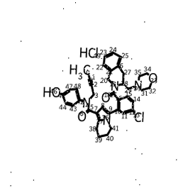 CC#CCN(C(=O)c1cc(-c2cc(Cl)ccc2C(=O)N2Cc3ccccc3C[C@H]2CN2CCOCC2)n2c1CCCC2)c1ccc(O)cc1.Cl